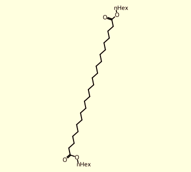 CCCCCCOC(=O)CCCCCCCCCCCCCCCCCCCCCCC(=O)OCCCCCC